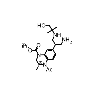 CC(=O)N1c2ccc(C(CN)CNC(C)(C)CO)cc2N(C(=O)OC(C)C)C[C@@H]1C